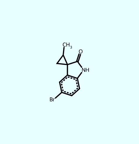 CC1CC12C(=O)Nc1ccc(Br)cc12